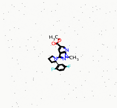 COC(=O)c1cnc2c(c1)c(N1CCC[C@@H]1c1cc(F)ccc1F)nn2C